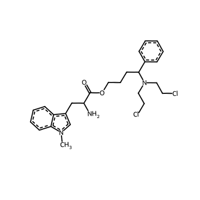 Cn1cc(CC(N)C(=O)OCCCC(c2ccccc2)N(CCCl)CCCl)c2ccccc21